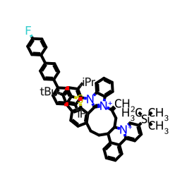 C=C1CC2C(CCc3ccc4c(sc5cc(-c6ccc(-c7ccc(F)cc7)cc6)ccc54)c3-c3n(-c4c(C(C)C)cc(C(C)(C)C)cc4C(C)C)c4ccccc4[n+]31)c1ccccc1-c1ccc([Si](C)(C)C)c[n+]12